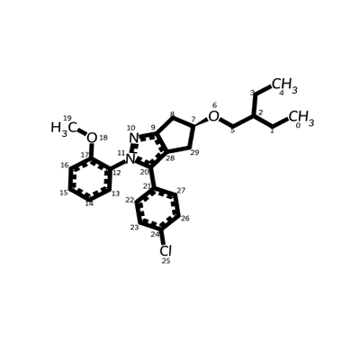 CCC(CC)CO[C@@H]1Cc2nn(-c3ccccc3OC)c(-c3ccc(Cl)cc3)c2C1